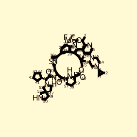 CO[C@@H](C)c1ncc(N2CCN(C3CC3)CC2)cc1-c1c2c3cc(ccc3n1CC(F)(F)F)-c1csc(n1)C[C@H](NC(=O)[C@H](C1CCCC1)N1CC[C@]3(CCNC3)C1)C(=O)N1CCC[C@H](N1)C(=O)OCC(C)(C)C2